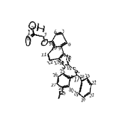 O=C(O)COc1cccc2c1CCc1sc(SC(c3ccccc3)c3cccc(F)c3)nc1-2